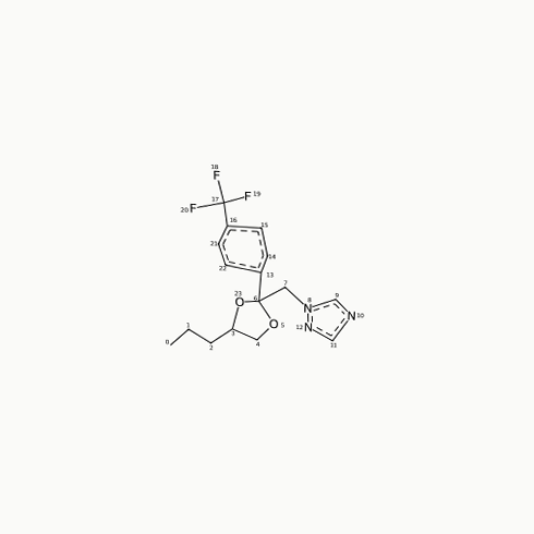 CCCC1COC(Cn2cncn2)(c2ccc(C(F)(F)F)cc2)O1